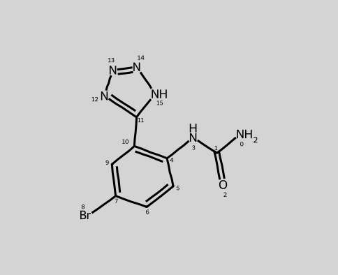 NC(=O)Nc1ccc(Br)cc1-c1nnn[nH]1